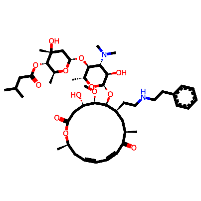 CO[C@@H]1[C@@H](O[C@@H]2O[C@H](C)[C@@H](O[C@H]3C[C@@](C)(O)[C@@H](OC(=O)CC(C)C)[C@H](C)O3)[C@H](N(C)C)[C@H]2O)[C@@H](CCNCCc2ccccc2)C[C@@H](C)C(=O)C=CC=CC[C@@H](C)OC(=O)C[C@@H]1O